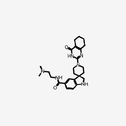 CN(C)CCNC(=O)c1ccc2c(c1)C1(CCN(c3nc4c(c(=O)[nH]3)CCCC4)CC1)CN2